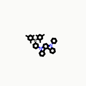 Cc1cc(C)c(B(c2cccc(-n3c4ccccc4c4c5c6ccccc6n(-c6ccccc6)c5ccc43)c2)c2c(C)cc(C)cc2C)c(C)c1